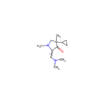 CN(C)/C=C1\C(=O)C(C)(C2CC2)CN1C